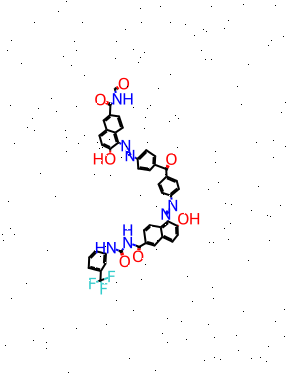 O=CNC(=O)c1ccc2c(N=Nc3ccc(C(=O)c4ccc(N=Nc5c(O)ccc6cc(C(=O)NC(=O)Nc7cccc(C(F)(F)F)c7)ccc56)cc4)cc3)c(O)ccc2c1